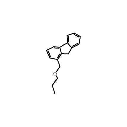 CCCOCc1cccc2c1Cc1ccccc1-2